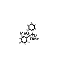 COC(OC)(C(=O)c1cc[c]cc1)c1ccccc1